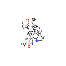 CN/C(=N\S(C)(=O)=O)N[C@]12CCC3(CC3)C[C@H]1[C@H]1C(=O)C=C3[C@@]4(C)C=C(C#N)C(=O)C(C)(C)[C@@H]4CC[C@@]3(C)[C@]1(C)CC2